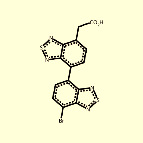 O=C(O)Cc1ccc(-c2ccc(Br)c3nsnc23)c2nsnc12